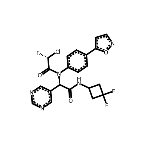 O=C(NC1CC(F)(F)C1)[C@@H](c1cncnc1)N(C(=O)[C@H](F)Cl)c1ccc(-c2ccno2)cc1